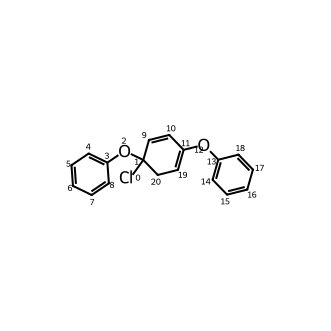 ClC1(Oc2ccccc2)C=CC(Oc2ccccc2)=CC1